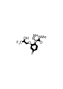 CNC(=O)N(N=N)c1ccc(F)cc1OCC(O)C(F)(F)F